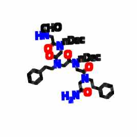 CCCCCCCCCCN(CC(=O)N(CCc1ccccc1)CC(=O)N(CCCCCCCCCC)CC(=O)N(CCc1ccccc1)CC(N)=O)C(=O)CNC=O